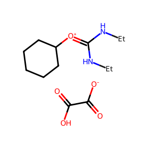 CCNC(NCC)=[O+]C1CCCCC1.O=C([O-])C(=O)O